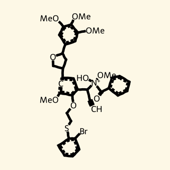 C#CC(c1cc(C2COC(c3cc(OC)c(OC)c(OC)c3)C2)cc(OC)c1OCCSc1ccccc1Br)[N+](O)(OC)C(=O)c1ccccc1